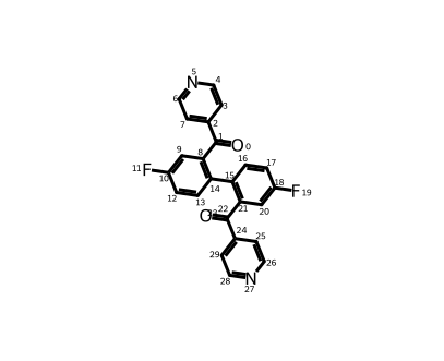 O=C(c1ccncc1)c1cc(F)ccc1-c1ccc(F)cc1C(=O)c1ccncc1